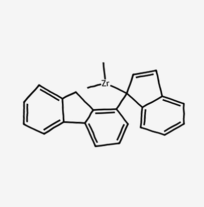 [CH3][Zr]([CH3])[C]1(c2cccc3c2Cc2ccccc2-3)C=Cc2ccccc21